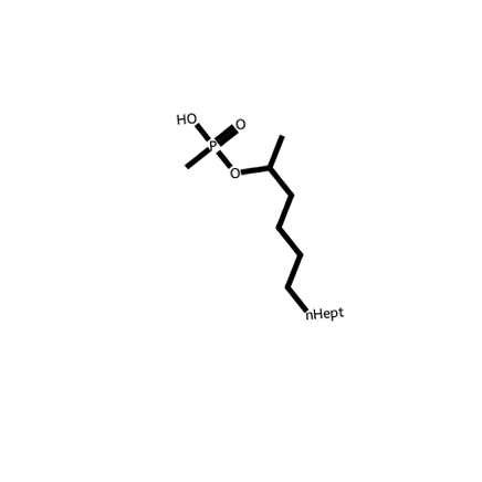 CCCCCCCCCCCC(C)OP(C)(=O)O